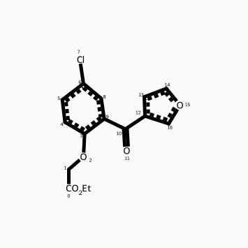 CCOC(=O)COc1ccc(Cl)cc1C(=O)c1ccoc1